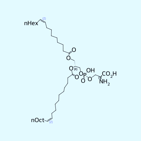 CCCCCC/C=C\CCCCCCCC(=O)OC[C@H](COP(=O)(O)OC[C@H](N)C(=O)O)OC(=O)CCCCCCCCC/C=C\CCCCCCCC